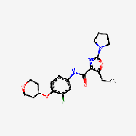 O=C(Nc1ccc(OC2CCOCC2)c(F)c1)c1nc(N2CCCC2)oc1CC(F)(F)F